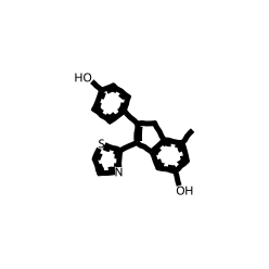 Cc1cc(O)cc2c1CC(c1ccc(O)cc1)=C2c1nccs1